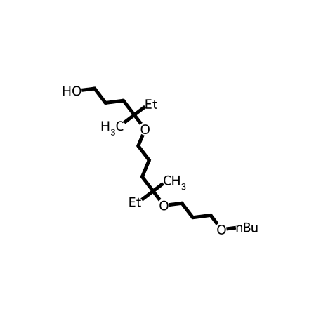 CCCCOCCCOC(C)(CC)CCCOC(C)(CC)CCCO